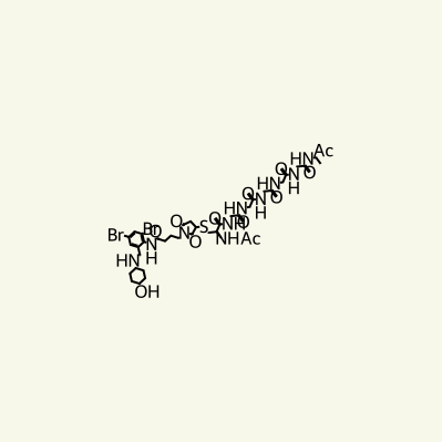 CC(=O)NC(CSC1CC(=O)N(CCCC(=O)Nc2c(Br)cc(Br)cc2CN[C@H]2CC[C@H](O)CC2)C1=O)C(=O)NCC(=O)NCC(=O)NCC(=O)NCC(=O)NCC(=O)NC(C)C(C)=O